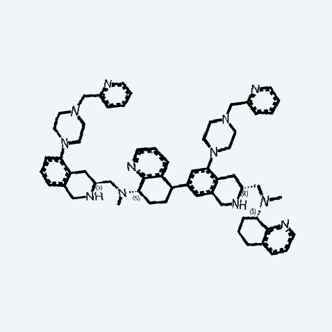 CN(C[C@H]1Cc2c(cc(C3CC[C@H](N(C)C[C@@H]4Cc5c(cccc5N5CCN(Cc6ccccn6)CC5)CN4)c4ncccc43)cc2N2CCN(Cc3ccccn3)CC2)CN1)[C@H]1CCCc2cccnc21